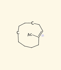 CC(=O)/C1=C\CCCCCCCCC1